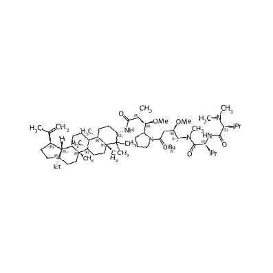 C=C(C)[C@@H]1CC[C@]2(CC)CC[C@]3(C)C(CCC4[C@@]5(C)CC[C@H](NC(=O)[C@H](C)[C@@H](OC)C6CCCN6C(=O)C[C@@H](OC)[C@H]([C@@H](C)CC)N(C)C(=O)[C@@H](NC(=O)[C@H](C(C)C)N(C)C)C(C)C)C(C)(C)[C@]5(C)CC[C@]43C)[C@@H]12